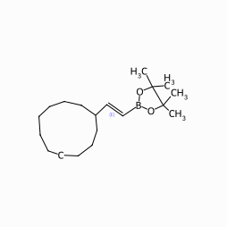 CC1(C)OB(/C=C/C2CCCCCCCCCC2)OC1(C)C